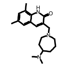 Cc1cc(C)c2[nH]c(=O)c(CN3CCCC(N(C)C)CC3)cc2c1